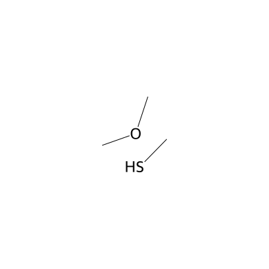 COC.CS